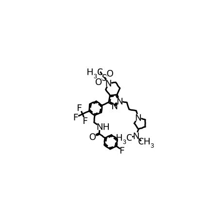 CN(C)C1CCN(CCCn2nc(-c3ccc(C(F)(F)F)c(CNC(=O)c4ccc(F)cc4)c3)c3c2CCN(S(C)(=O)=O)C3)C1